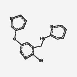 Sc1ccc(Oc2cccnc2)cc1CNc1ccccn1